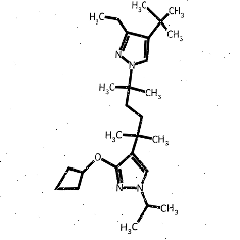 CCc1nn(C(C)(C)CCC(C)(C)c2cn(C(C)C)nc2OC2CCC2)cc1C(C)(C)C